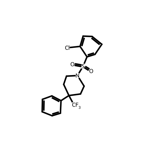 O=S(=O)(c1ccccc1Cl)N1CCC(c2ccccc2)(C(F)(F)F)CC1